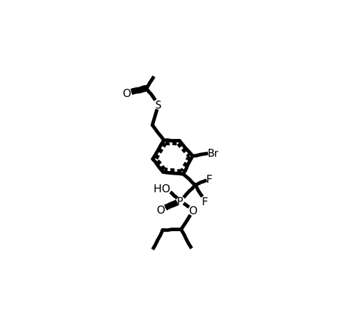 CCC(C)OP(=O)(O)C(F)(F)c1ccc(CSC(C)=O)cc1Br